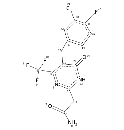 NC(=O)Cc1nc(C(F)(F)F)c(Cc2ccc(F)c(Cl)c2)c(=O)[nH]1